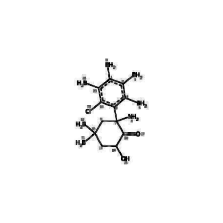 Bc1c(B)c(B)c(C2(N)CC(B)(B)CC(O)C2=O)c(Cl)c1B